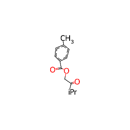 Cc1ccc(C(=O)OCC(=O)C(C)C)cc1